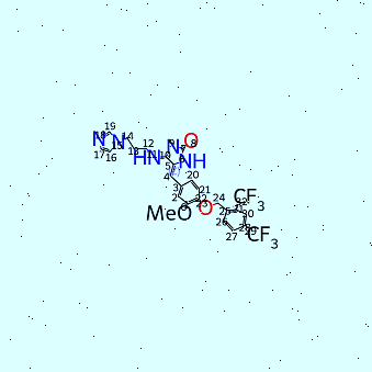 COc1cc(/C=C2\NC(=O)N=C2NCCCn2ccnc2)ccc1OCc1ccc(C(F)(F)F)cc1C(F)(F)F